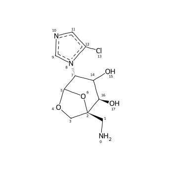 NC[C@@]12COC(O1)[C@H](n1cncc1Cl)C(O)[C@H]2O